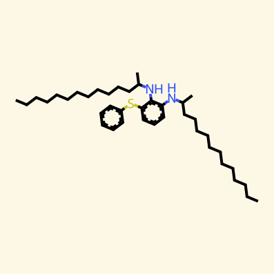 CCCCCCCCCCCCC(C)Nc1cccc(Sc2ccccc2)c1NC(C)CCCCCCCCCCCC